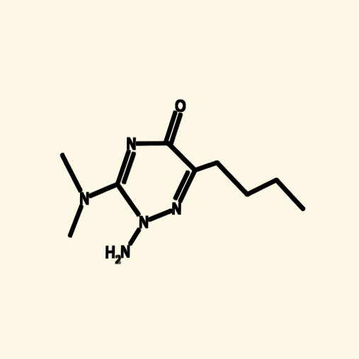 CCCCc1nn(N)c(N(C)C)nc1=O